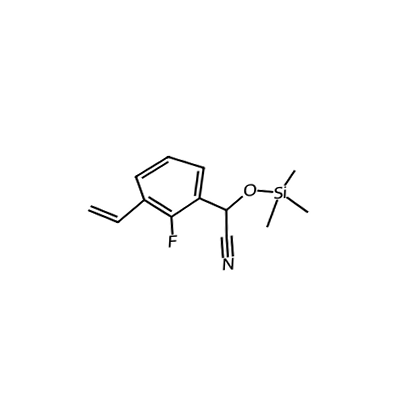 C=Cc1cccc(C(C#N)O[Si](C)(C)C)c1F